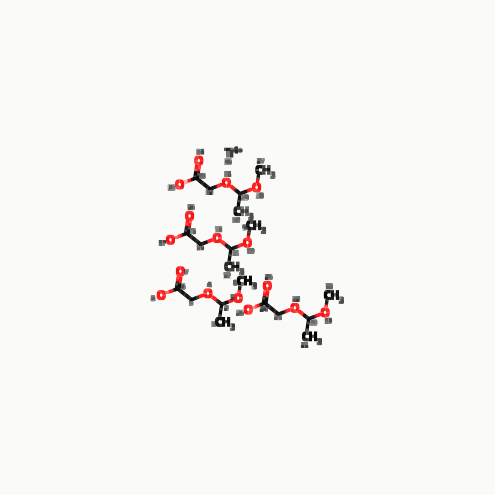 COC(C)OCC(=O)[O-].COC(C)OCC(=O)[O-].COC(C)OCC(=O)[O-].COC(C)OCC(=O)[O-].[Ti+4]